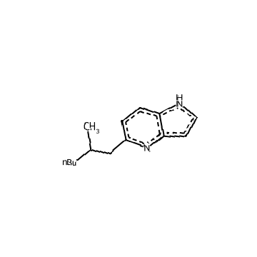 CCCCC(C)Cc1ccc2[nH]ccc2n1